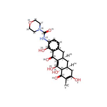 CC(=O)C1=C(O)C[C@@H]2C[C@@H]3Cc4ccc(NC(=O)N5CCOCC5)c(O)c4C(=O)C3=C(O)[C@]2(O)C1=O